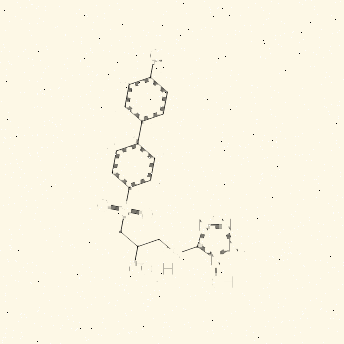 Cn1nnnc1SCC(CS(=O)(=O)c1ccc(-c2ccc(Cl)cc2)cc1)C(=O)O